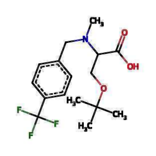 CN(Cc1ccc(C(F)(F)F)cc1)C(COC(C)(C)C)C(=O)O